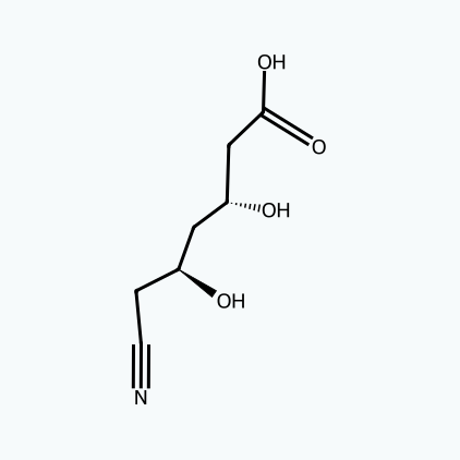 N#CC[C@H](O)C[C@@H](O)CC(=O)O